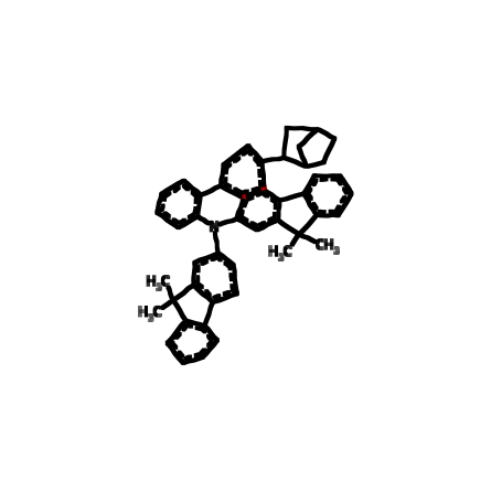 CC1(C)c2ccccc2-c2ccc(N(c3ccc4c(c3)C(C)(C)c3ccccc3-4)c3ccccc3-c3ccc(C4CC5CCC4C5)cc3)cc21